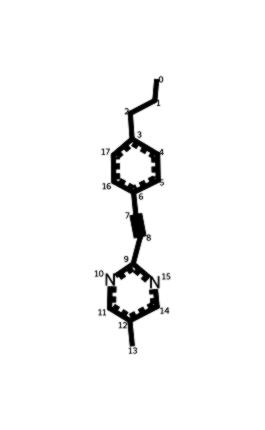 CCCc1ccc(C#Cc2ncc(C)cn2)cc1